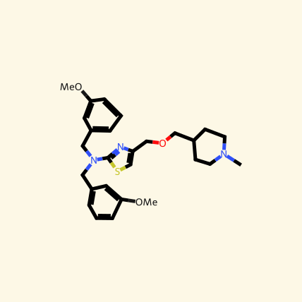 COc1cccc(CN(Cc2cccc(OC)c2)c2nc(COCC3CCN(C)CC3)cs2)c1